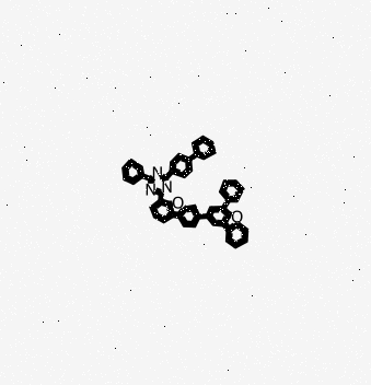 c1ccc(-c2ccc(-c3nc(-c4ccccc4)nc(-c4cccc5c4oc4cc(-c6cc(-c7ccccc7)c7oc8ccccc8c7c6)ccc45)n3)cc2)cc1